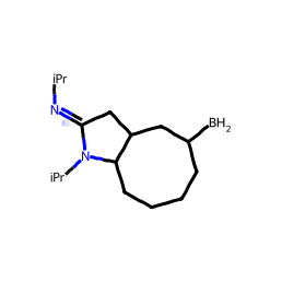 BC1CCCCC2C(C/C(=N\C(C)C)N2C(C)C)C1